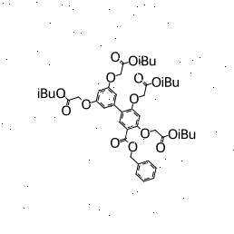 CC(C)COC(=O)COc1cc(OCC(=O)OCC(C)C)cc(-c2cc(C(=O)OCc3ccccc3)c(OCC(=O)OCC(C)C)cc2OCC(=O)OCC(C)C)c1